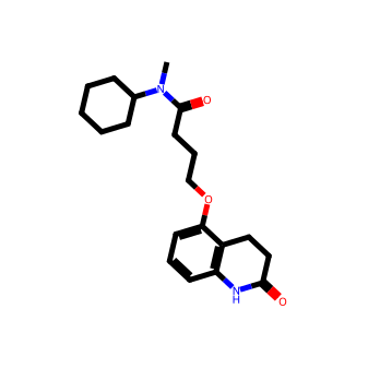 CN(C(=O)CCCOc1cccc2c1CCC(=O)N2)C1CCCCC1